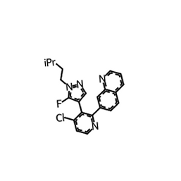 CC(C)CCn1ncc(-c2c(Cl)ccnc2-c2ccc3cccnc3c2)c1F